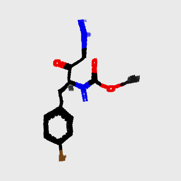 CC(C)(C)OC(=O)N[C@@H](Cc1ccc(Br)cc1)C(=O)C=[N+]=[N-]